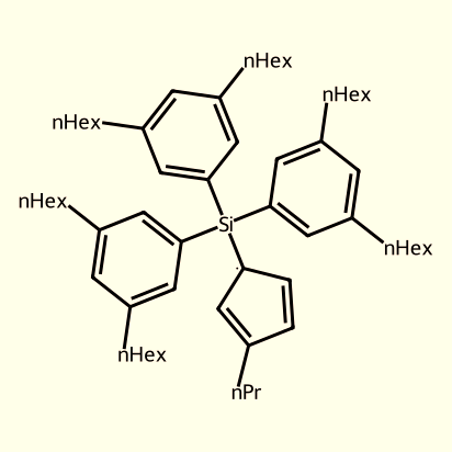 CCCCCCc1cc(CCCCCC)cc([Si]([C]2C=CC(CCC)=C2)(c2cc(CCCCCC)cc(CCCCCC)c2)c2cc(CCCCCC)cc(CCCCCC)c2)c1